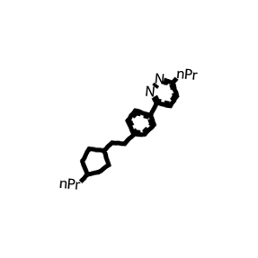 CCCc1ccc(-c2ccc(CCC3CCC(CCC)CC3)cc2)nn1